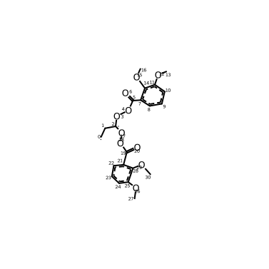 [CH2]C[C](OOC(=O)c1cccc(OC)c1OC)OOC(=O)c1cccc(OC)c1OC